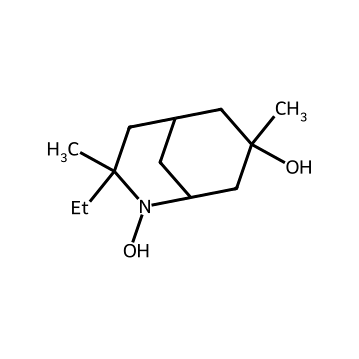 CCC1(C)CC2CC(CC(C)(O)C2)N1O